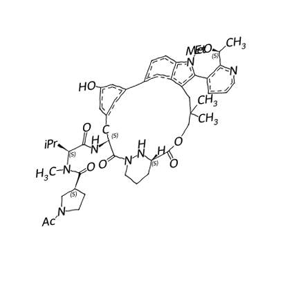 CCn1c(-c2cccnc2[C@H](C)OC)c2c3cc(ccc31)-c1cc(O)cc(c1)C[C@H](NC(=O)[C@H](C(C)C)N(C)C(=O)[C@H]1CCN(C(C)=O)C1)C(=O)N1CCC[C@H](N1)C(=O)OCC(C)(C)C2